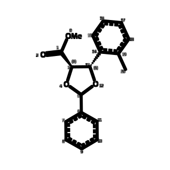 COC(=O)[C@@H]1OC(c2ccccc2)O[C@H]1c1ccccc1C